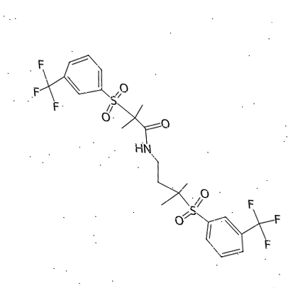 CC(C)(CCNC(=O)C(C)(C)S(=O)(=O)c1cccc(C(F)(F)F)c1)S(=O)(=O)c1cccc(C(F)(F)F)c1